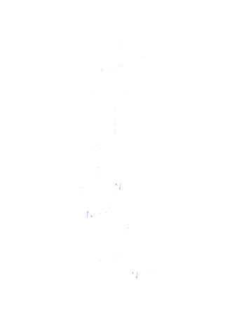 CCC1(CC)OCC(COc2nc(SC(=O)N(C)C)ns2)O1